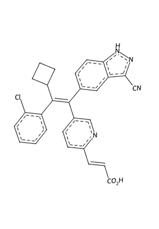 N#Cc1n[nH]c2ccc(/C(=C(/c3ccccc3Cl)C3CCC3)c3ccc(/C=C/C(=O)O)nc3)cc12